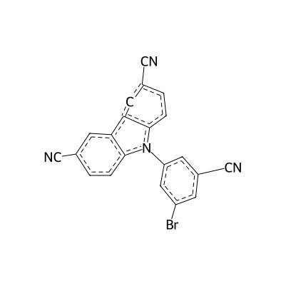 N#Cc1cc(Br)cc(-n2c3ccc(C#N)cc3c3cc(C#N)ccc32)c1